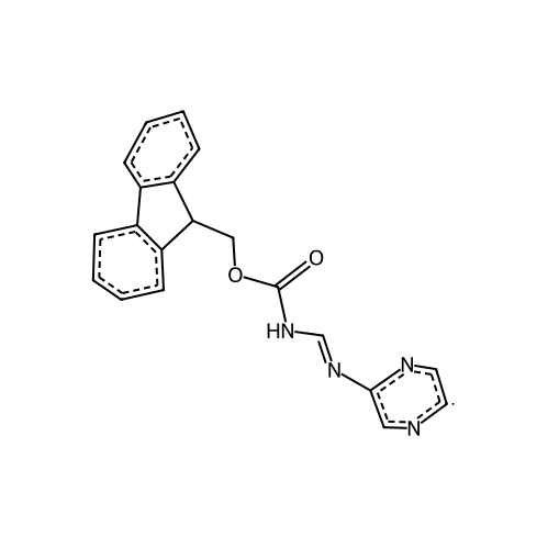 O=C(N/C=N/c1cn[c]cn1)OCC1c2ccccc2-c2ccccc21